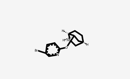 Brc1ccc(O[C@@H]2C[C@H]3CC[C@@H]2NC3)nc1